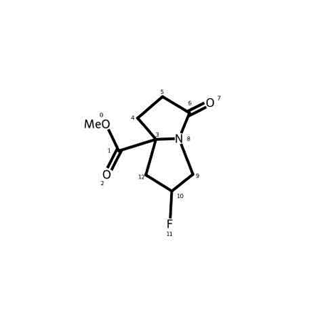 COC(=O)C12CCC(=O)N1CC(F)C2